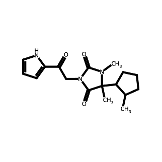 CC1CCCC1C1(C)C(=O)N(CC(=O)c2ccc[nH]2)C(=O)N1C